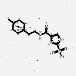 CCS(=O)(=O)c1ncc(C(=O)NCCC23CCC(C)(CC2)CC3)s1